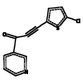 O=C(C#Cc1ccc(Cl)s1)c1cccnc1